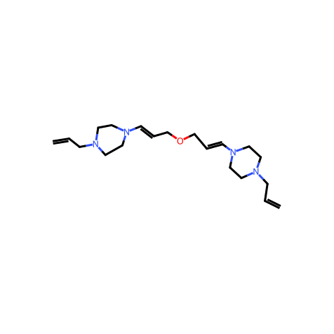 C=CCN1CCN(C=CCOCC=CN2CCN(CC=C)CC2)CC1